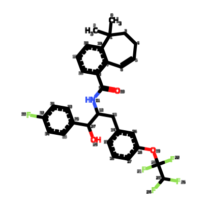 CC1(C)CCC=Cc2c(C(=O)NC(Cc3cccc(OC(F)(F)C(F)F)c3)C(O)c3ccc(F)cc3)cccc21